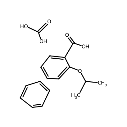 CC(C)Oc1ccccc1C(=O)O.O=C(O)O.c1ccccc1